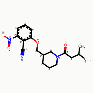 CC(C)CC(=O)N1CCCC(COc2cccc([N+](=O)[O-])c2C#N)C1